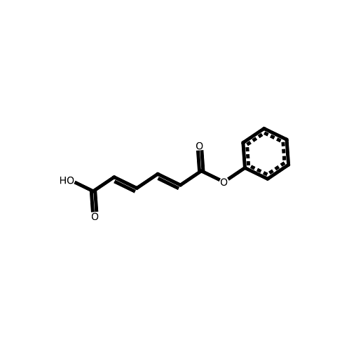 O=C(O)C=CC=CC(=O)Oc1ccccc1